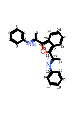 C/C(=N\c1ccccc1)c1oc(/C(C)=N/c2ccccc2)c2ccccc12